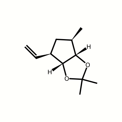 C=C[C@H]1C[C@@H](C)[C@@H]2OC(C)(C)O[C@@H]21